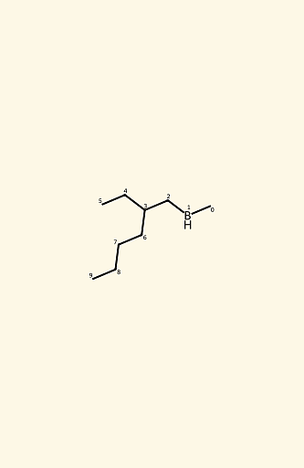 CBCC(CC)CCCC